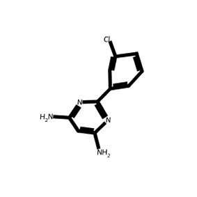 Nc1cc(N)nc(-c2cccc(Cl)c2)n1